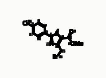 COC(=O)c1sc(-c2ccc(Cl)cc2)nc1CBr